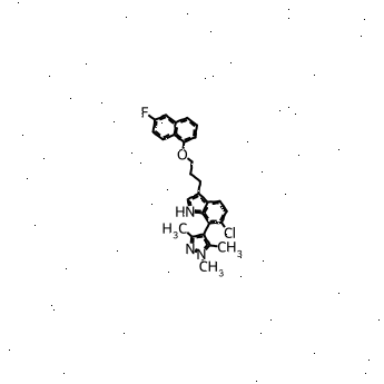 Cc1nn(C)c(C)c1-c1c(Cl)ccc2c(CCCOc3cccc4cc(F)ccc34)c[nH]c12